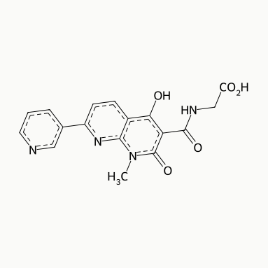 Cn1c(=O)c(C(=O)NCC(=O)O)c(O)c2ccc(-c3cccnc3)nc21